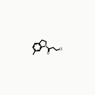 Cc1ccc2c(c1)N(C(=O)CCCl)CC2